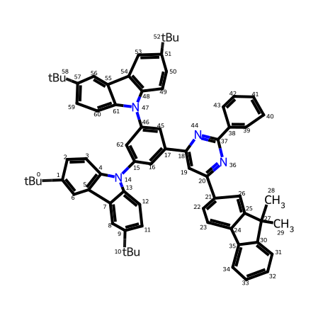 CC(C)(C)c1ccc2c(c1)c1cc(C(C)(C)C)ccc1n2-c1cc(-c2cc(-c3ccc4c(c3)C(C)(C)c3ccccc3-4)nc(-c3ccccc3)n2)cc(-n2c3ccc(C(C)(C)C)cc3c3cc(C(C)(C)C)ccc32)c1